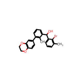 Cc1[c]ccc(C(O)c2cccc(-c3ccc4c(c3)OCCO4)c2C)c1Br